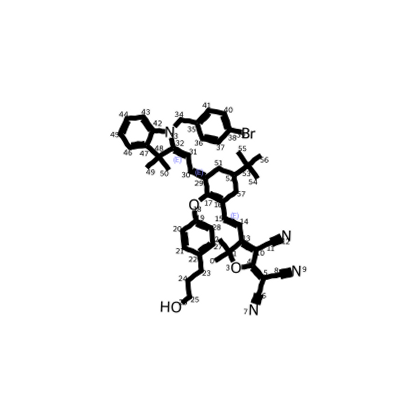 CC1(C)OC(=C(C#N)C#N)C(C#N)=C1/C=C/C1=C(Oc2ccc(CCCO)cc2)C(=C/C=C2/N(Cc3ccc(Br)cc3)c3ccccc3C2(C)C)/CC(C(C)(C)C)C1